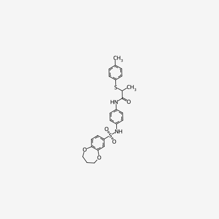 Cc1ccc(SC(C)C(=O)Nc2ccc(NS(=O)(=O)c3ccc4c(c3)OCCCO4)cc2)cc1